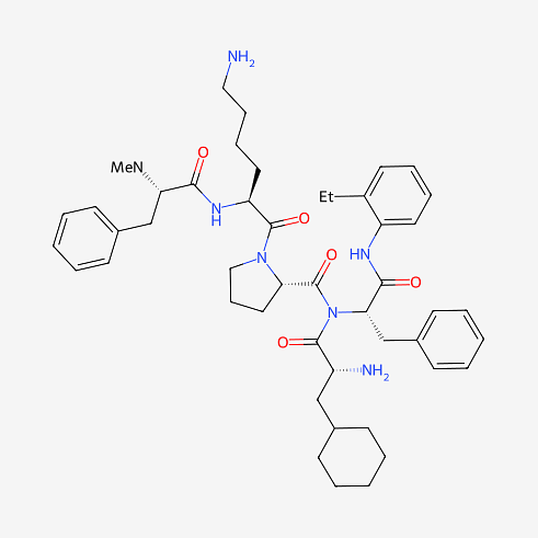 CCc1ccccc1NC(=O)[C@H](Cc1ccccc1)N(C(=O)[C@H](N)CC1CCCCC1)C(=O)[C@@H]1CCCN1C(=O)[C@H](CCCCN)NC(=O)[C@H](Cc1ccccc1)NC